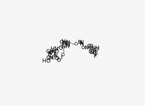 [C-]#[N+][C@@H]1CC(F)(F)CN1C(=O)[C@@H]1C[C@@H](CC(=O)N2Cc3cccc(Cn4cc(-c5ccc(CCCCN6C[C@@H]7C[C@H]6CN7C(=O)C(CCCCNC(=O)CN6CCN(CC)CCN(CC(=O)O)CCN(COC=O)CC6)NC(=O)CCCc6ccc(I)cc6)cc5)nn4)c3C2)C(=O)N1